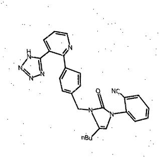 CCCCc1cn(-c2ccccc2C#N)c(=O)n1Cc1ccc(-c2ncccc2-c2nnn[nH]2)cc1